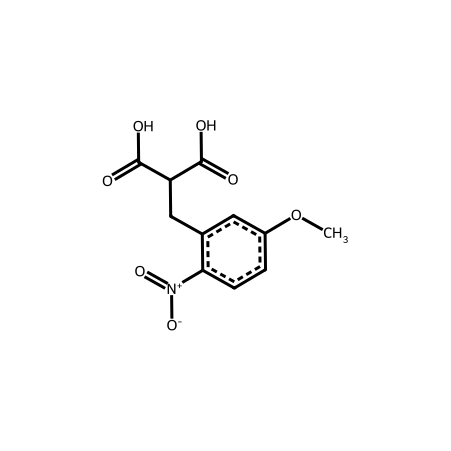 COc1ccc([N+](=O)[O-])c(CC(C(=O)O)C(=O)O)c1